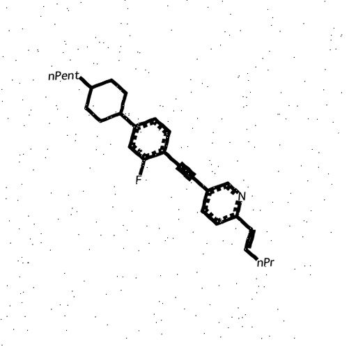 CCCC=Cc1ccc(C#Cc2ccc(C3CCC(CCCCC)CC3)cc2F)cn1